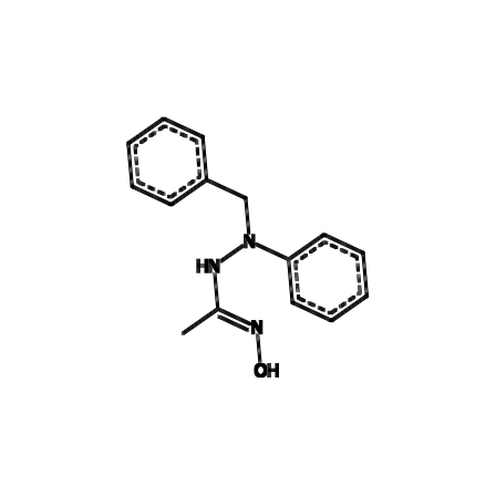 CC(=NO)NN(Cc1ccccc1)c1ccccc1